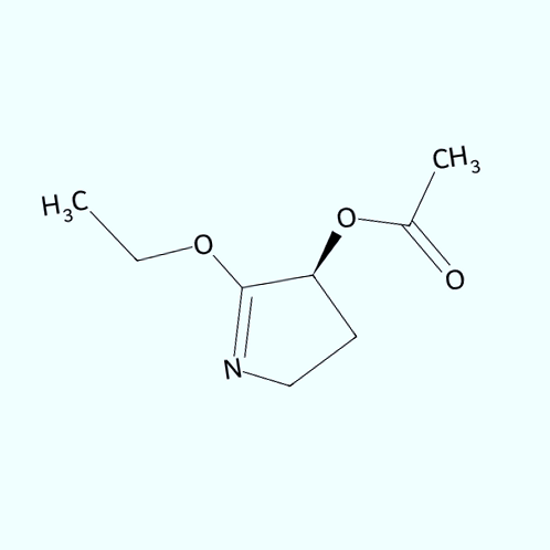 CCOC1=NCC[C@@H]1OC(C)=O